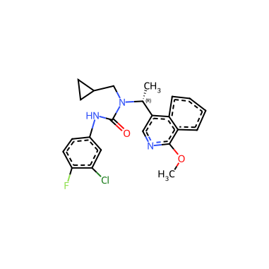 COc1ncc([C@@H](C)N(CC2CC2)C(=O)Nc2ccc(F)c(Cl)c2)c2ccccc12